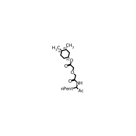 CCCCCC(NC(=O)COCC(=O)O[C@@H]1CC[C@@H](C)[C@H](C)C1)C(C)=O